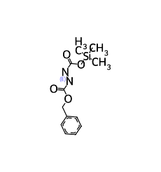 C[Si](C)(C)OC(=O)/N=N/C(=O)OCc1ccccc1